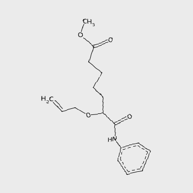 C=CCOC(CCCCC(=O)OC)C(=O)Nc1ccccc1